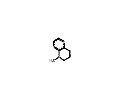 CN1CCCc2nccnc21